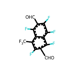 O=Cc1c(F)c(C(F)(F)F)c2c(F)c(C=O)c(F)c(F)c2c1F